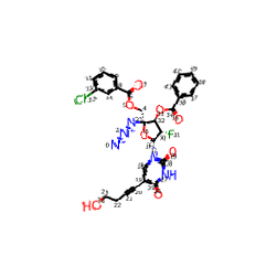 [N-]=[N+]=N[C@]1(COC(=O)c2cccc(Cl)c2)O[C@@H](n2cc(C#CCCO)c(=O)[nH]c2=O)[C@@H](F)[C@@H]1OC(=O)c1ccccc1